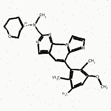 COc1cc(C)c(C)c(-c2cc3cnc(N(C)[C@H]4CCCOC4)nc3n3ccnc23)c1C